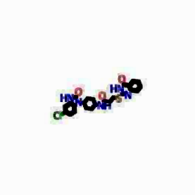 O=C(CCSc1nc2ccccc2c(=O)[nH]1)NC1CCC(n2c(=O)[nH]c3cc(Cl)ccc32)CC1